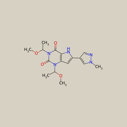 COC(C)n1c(=O)c2[nH]c(-c3cnn(C)c3)cc2n(C(C)OC)c1=O